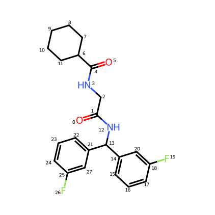 O=C(CNC(=O)C1CCCCC1)NC(c1cccc(F)c1)c1cccc(F)c1